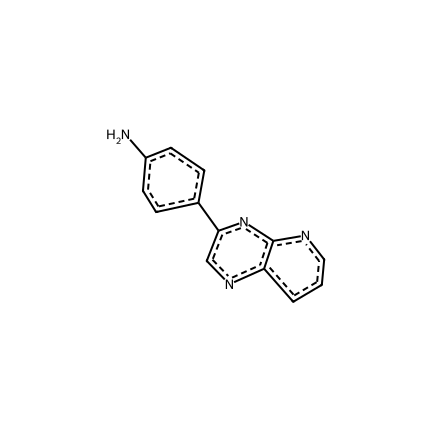 Nc1ccc(-c2cnc3cccnc3n2)cc1